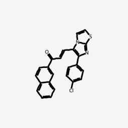 O=C(C=Cc1c(-c2ccc(Cl)cc2)nc2sccn12)c1ccc2ccccc2c1